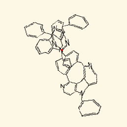 c1ccc(-c2nc(-c3ccccc3)nc(-c3ccc(-c4nccc5c4c4c(-c6ccc(-n7c8ccccc8c8ccccc87)cc6)nccc4n5-c4ccccc4)cc3)n2)cc1